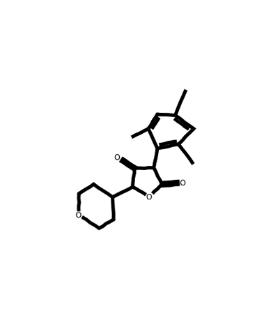 Cc1cc(C)c(C2C(=O)OC(C3CCOCC3)C2=O)c(C)c1